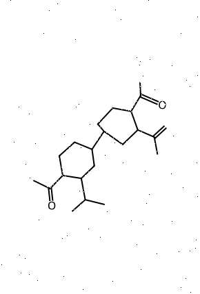 C=C(C)C1CC(C2CCC(C(C)=O)C(C(C)C)C2)CCC1C(C)=O